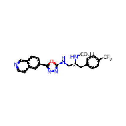 O=C(O)N[C@H](CNc1nnc(-c2ccc3cnccc3c2)o1)Cc1ccc(C(F)(F)F)cc1